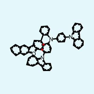 c1ccc(N(c2ccc(-n3c4ccccc4c4ccccc43)cc2)c2ccc(-n3c4ccccc4c4ccccc43)cc2)c(-c2ccc3oc4cc5ccccc5cc4c3c2)c1